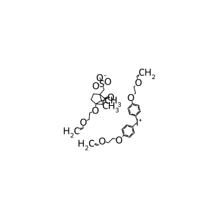 C=COCCOC12CCC(CS(=O)(=O)[O-])(C(=O)C1)C2(C)C.C=COCCOc1ccc([I+]c2ccc(OCCOC=C)cc2)cc1